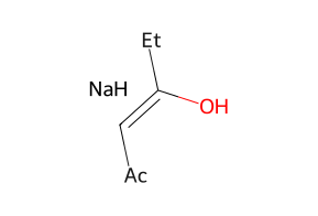 CCC(O)=CC(C)=O.[NaH]